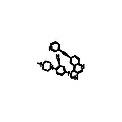 CN1CCN(c2ccc(-n3cnc4cnc5ccc(C#Cc6cccnc6)cc5c43)cc2C#N)CC1